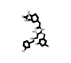 CCc1cccc(CNC[C@H](O)[C@H](Cc2cc(F)cc(F)c2)NC(=O)Cc2ccc3[nH]c(=O)[nH]c3c2)c1